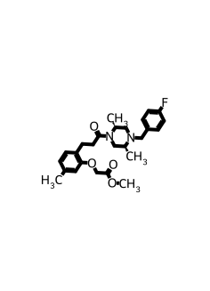 COC(=O)COc1cc(C)ccc1CCC(=O)N1C[C@H](C)N(Cc2ccc(F)cc2)C[C@H]1C